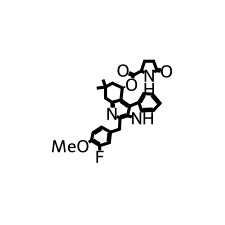 COc1ccc(Cc2nc3c(c4c2[nH]c2ccccc24)[C@@H](OC(=O)C2CCC(=O)N2)CC(C)(C)C3)cc1F